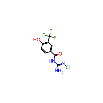 NC(=NCl)NC(=O)c1ccc(O)c(C(F)(F)F)c1